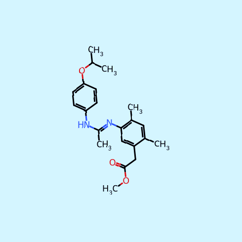 COC(=O)Cc1cc(/N=C(\C)Nc2ccc(OC(C)C)cc2)c(C)cc1C